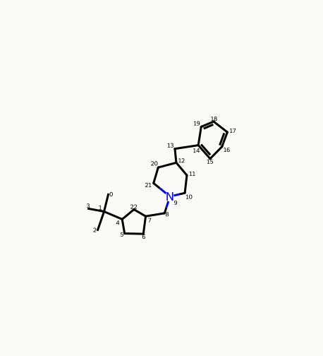 CC(C)(C)C1CCC(CN2CCC(Cc3ccccc3)CC2)C1